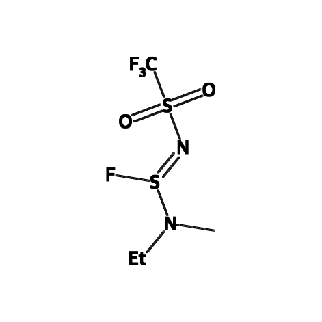 CCN(C)S(F)=NS(=O)(=O)C(F)(F)F